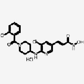 Cl.O=C(C=Cc1cnc(NC2CCN(C(=O)c3ccccc3Cl)CC2)c(Cl)c1)NO